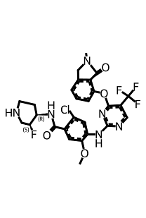 COc1cc(C(=O)N[C@@H]2CCNC[C@@H]2F)c(Cl)cc1Nc1ncc(C(F)(F)F)c(Oc2cccc3c2C(=O)N(C)C3)n1